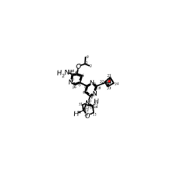 CC(C)Oc1cc(-c2cc(N3C[C@@H]4C[C@H]3CO4)nc(N3CC4CC3C4)n2)cnc1N